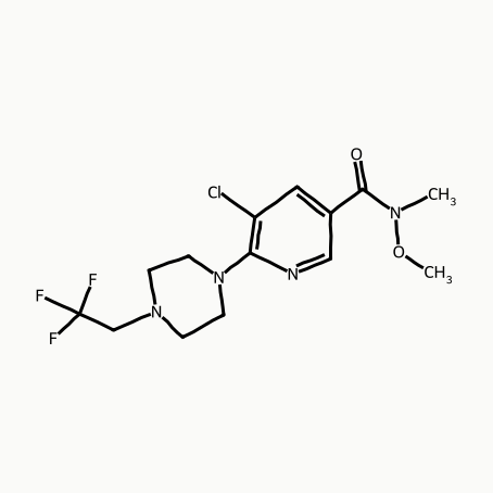 CON(C)C(=O)c1cnc(N2CCN(CC(F)(F)F)CC2)c(Cl)c1